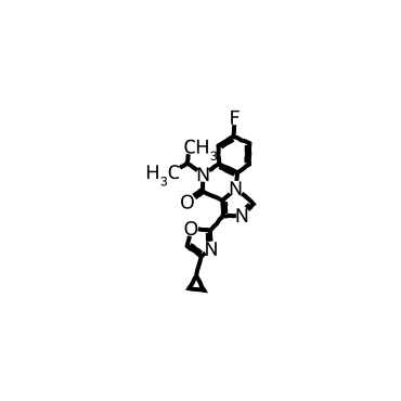 CC(C)n1c(=O)c2c(-c3nc(C4CC4)co3)ncn2c2ccc(F)cc21